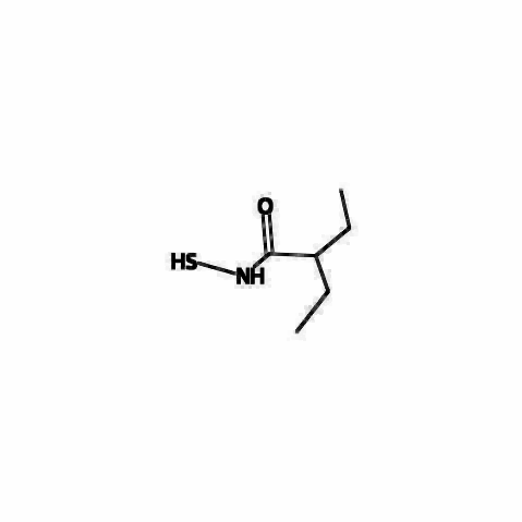 CCC(CC)C(=O)NS